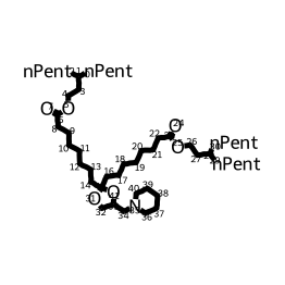 CCCCCC(CCCCC)CCOC(=O)CCCCCCCC1(CCCCCCCC(=O)OCCC(CCCCC)CCCCC)OCC(CN2CCCCC2)O1